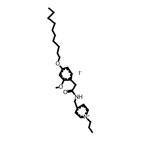 CCCCCCCCCCOc1ccc(CC(=O)NCc2cc[n+](CCC)cc2)c(OC)c1.[I-]